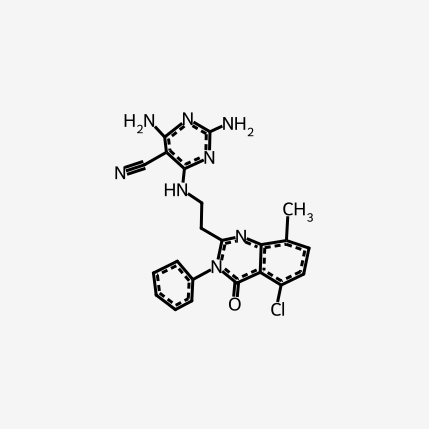 Cc1ccc(Cl)c2c(=O)n(-c3ccccc3)c(CCNc3nc(N)nc(N)c3C#N)nc12